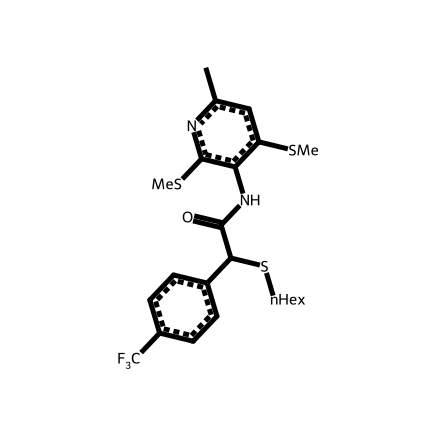 CCCCCCSC(C(=O)Nc1c(SC)cc(C)nc1SC)c1ccc(C(F)(F)F)cc1